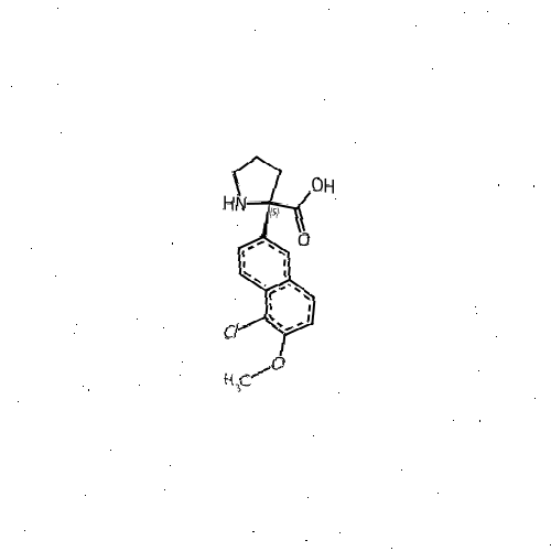 COc1ccc2cc([C@]3(C(=O)O)CCCN3)ccc2c1Cl